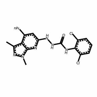 CCCc1cc(NNC(=O)Nc2c(Cl)cccc2Cl)nc2c1c(C)nn2C